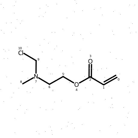 C=CC(=O)OCCN(C)CCl